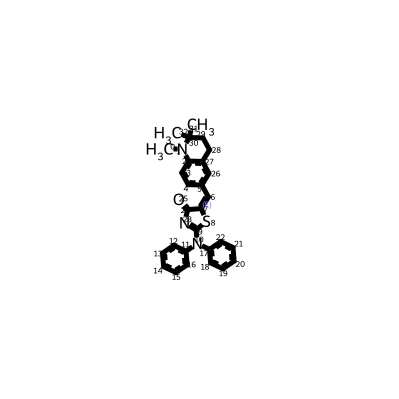 CN1c2ccc(/C=C3/SC(N(c4ccccc4)c4ccccc4)=NC3=O)cc2CCC1(C)C